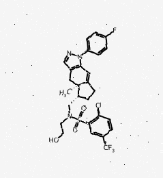 C[C@]12Cc3cnn(-c4ccc(F)cc4)c3C=C1CC[C@@H]2CN(CCO)S(=O)(=O)c1cc(C(F)(F)F)ccc1Cl